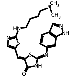 CN(C)CCCCNc1ncc(C=C2SC(=Nc3ccc4cn[nH]c4c3)NC2=O)s1